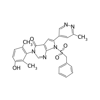 Cc1cc(-c2cc3c(=O)n(-c4c(C)ccc(O)c4C)cnc3n2S(=O)(=O)Cc2ccccc2)cnn1